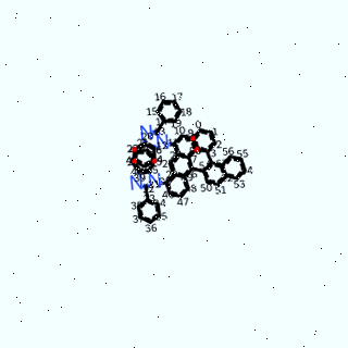 c1ccc(-c2c(-c3c4cccc(-n5c(-c6ccccc6)nc6ccccc65)c4cc4c(-n5c(-c6ccccc6)nc6ccccc65)cccc34)ccc3ccccc23)cc1